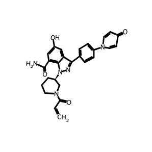 C=CC(=O)N1CCC[C@@H](n2nc(-c3ccc(-n4ccc(=O)cc4)cc3)c3cc(O)cc(C(N)=O)c32)C1